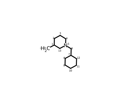 [CH2]C1CCCN(CC2CCCCC2)C1